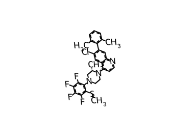 CSc1c(F)c(F)c(F)c(F)c1N1CCN(c2ccnc3cc(-c4c(C)cccc4C)c(Cl)cc23)[C@@H](C)C1